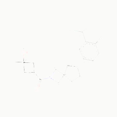 Cc1ccc([C@@H]2CCC3(C2)CN(C(=O)C2CC(C)(O)C2)C3)cc1C(F)F